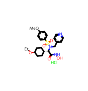 CCO[C@H]1CC[C@H](C(C(=O)NO)N(Cc2ccncc2)S(=O)(=O)c2ccc(OC)cc2)CC1.Cl